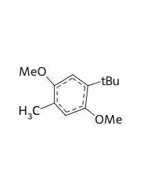 COc1cc(C(C)(C)C)c(OC)cc1C